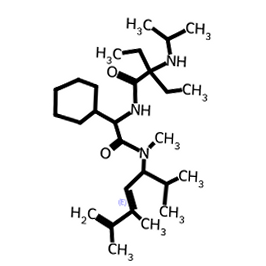 C=C(C)/C(C)=C/C(C(C)C)N(C)C(=O)C(NC(=O)C(CC)(CC)NC(C)C)C1CCCCC1